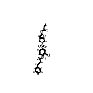 C=CC(=O)Nc1cc2c(o1)CN(S(=O)(=O)c1ccc(NC(=O)CCc3ccccc3)c(Cl)c1)C2